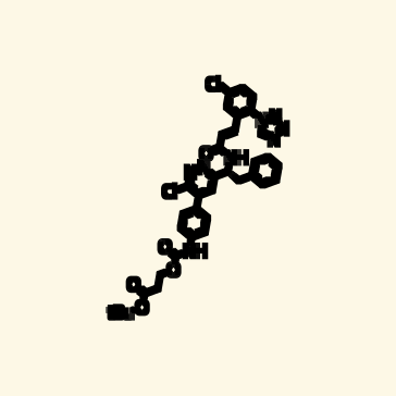 CC(C)(C)OC(=O)CCOC(=O)Nc1ccc(-c2cc([C@H](Cc3ccccc3)NC(=O)/C=C/c3cc(Cl)ccc3-n3cnnn3)nnc2Cl)cc1